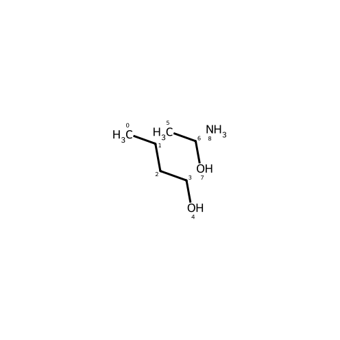 CCCCO.CCO.N